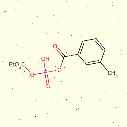 CCOC(=O)OP(=O)(O)OC(=O)c1cccc(C)c1